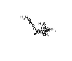 CCCCNc1nc(N)nc2cnn(Cc3ccc(CN(C(=O)CCOCCOCCOCCOCCN)C4CCC4)cc3OC)c12